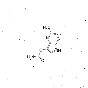 Cc1ccc2[nH]cc(OC(N)=O)c2n1